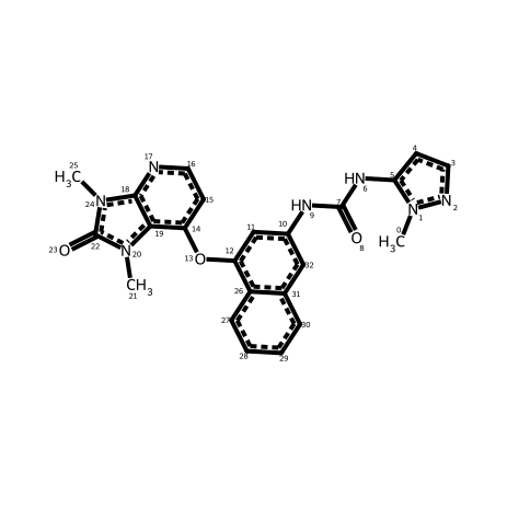 Cn1nccc1NC(=O)Nc1cc(Oc2ccnc3c2n(C)c(=O)n3C)c2ccccc2c1